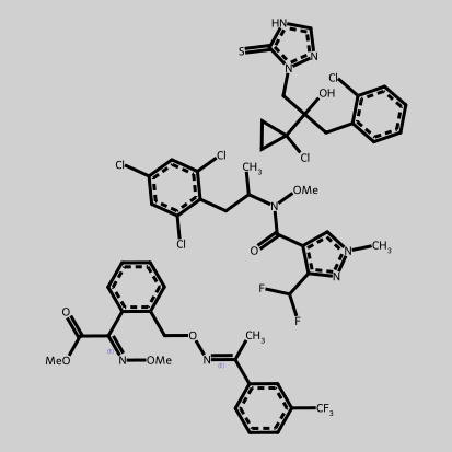 CO/N=C(/C(=O)OC)c1ccccc1CO/N=C(\C)c1cccc(C(F)(F)F)c1.CON(C(=O)c1cn(C)nc1C(F)F)C(C)Cc1c(Cl)cc(Cl)cc1Cl.OC(Cc1ccccc1Cl)(Cn1nc[nH]c1=S)C1(Cl)CC1